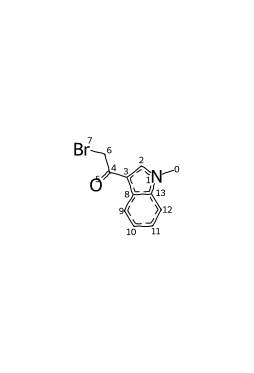 Cn1cc(C(=O)CBr)c2ccccc21